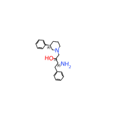 N[C@H](Cc1ccccc1)[C@@H](O)CN1CCC[C@H](c2ccccc2)C1